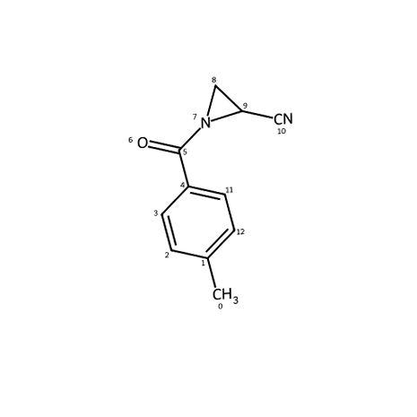 Cc1ccc(C(=O)N2CC2C#N)cc1